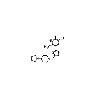 CCc1cc(-c2ccc(CN3CCC(N4CCCC4)CC3)s2)c(C)[nH]c1=O